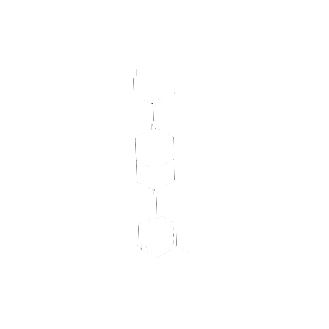 CC(C)(C)OC(=O)N1CC2CN(c3cncc(F)c3)CC(C1)O2